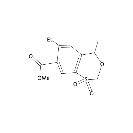 CCc1cc2c(cc1C(=O)OC)S(=O)(=O)COC2C